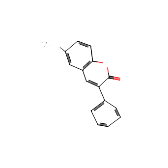 COc1ccc2oc(=O)c(-c3ccccc3)cc2c1